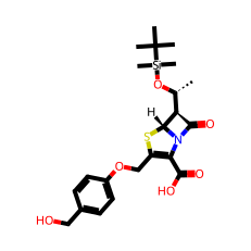 C[C@@H](O[Si](C)(C)C(C)(C)C)[C@H]1C(=O)N2C(C(=O)O)=C(COc3ccc(CO)cc3)S[C@H]12